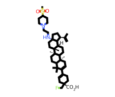 C=C(C)[C@@H]1CC[C@]2(NCCN3CCC(S(C)(=O)=O)CC3)CC[C@]3(C)[C@H](CCC4[C@@]5(C)CC=C(C6=CC[C@](CF)(C(=O)O)CC6)C(C)(C)C5CC[C@]43C)C12